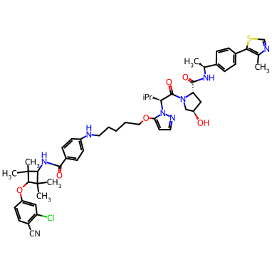 Cc1ncsc1-c1ccc([C@H](C)NC(=O)[C@@H]2C[C@@H](O)CN2C(=O)[C@H](C(C)C)n2nccc2OCCCCCNc2ccc(C(=O)NC3C(C)(C)C(Oc4ccc(C#N)c(Cl)c4)C3(C)C)cc2)cc1